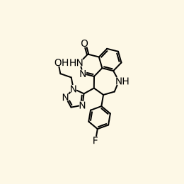 O=c1[nH]nc2c3c(cccc13)NCC(c1ccc(F)cc1)C2c1ncnn1CCO